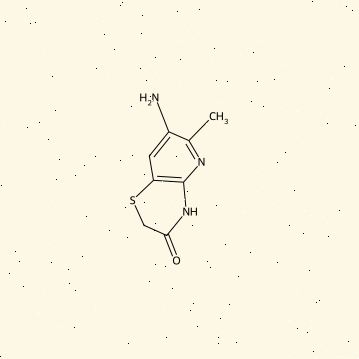 Cc1nc2c(cc1N)SCC(=O)N2